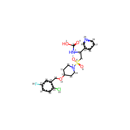 O=C(O)NC(CS(=O)(=O)N1CCC(OCc2cc(F)ccc2Cl)CC1)c1cccnc1